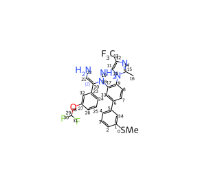 CSc1cccc(-c2ccc(-n3cc(C(F)(F)F)nc3C)c(N(N)/C(=C\N)c3cccc(OC(F)F)c3)c2)c1